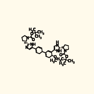 COC1CC=C(C2C=CC(c3cnc([C@@H]4CCCN4C(=O)OC(C)(C)C)[nH]3)=CC2)C=C1C1=CNC([C@@H]2CCCN2C(=O)OC(C)(C)C)N1